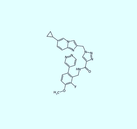 COc1ccc(-c2ccnnc2)c(CNC(=O)c2cn(Cc3cn4cc(C5CC5)ccc4n3)nn2)c1F